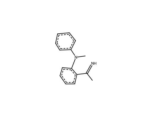 CC(=N)c1ccccc1N(C)c1ccccc1